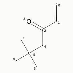 [CH]=CC(=O)CC(C)(C)C